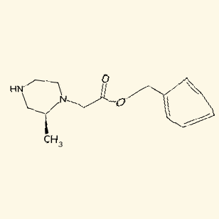 C[C@H]1CNCCN1CC(=O)OCc1ccccc1